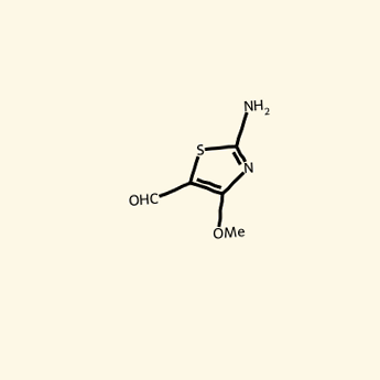 COc1nc(N)sc1C=O